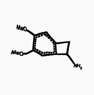 COc1cc2c(cc1OC)C(N)C2